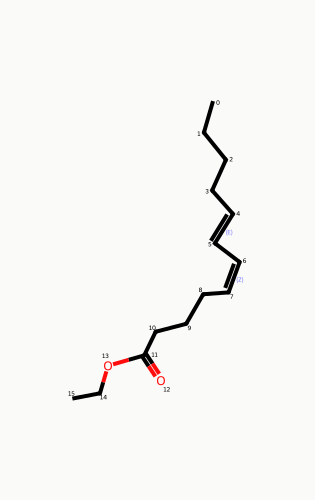 CCCC/C=C/C=C\CCCC(=O)OCC